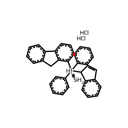 Cl.Cl.[SiH2]=[Hf]([c]1ccccc1)([c]1ccccc1)([c]1cccc2c1Cc1ccccc1-2)[CH]1C=Cc2ccccc21